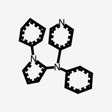 c1ccc(N(c2ccncc2)c2cccn2-c2ccccc2)cc1